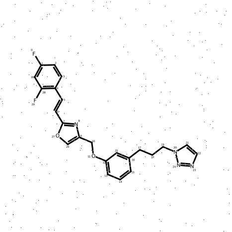 Fc1ccc(C=Cc2nc(COc3cccc(CCCn4ccnn4)c3)co2)c(F)c1